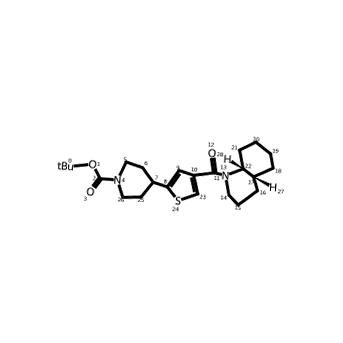 CC(C)(C)OC(=O)N1CCC(c2cc(C(=O)N3CCC[C@H]4CCCC[C@H]43)cs2)CC1